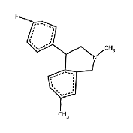 Cc1ccc2c(c1)CN(C)CC2c1ccc(F)cc1